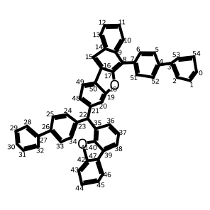 c1ccc(-c2ccc(-c3c4ccccc4cc4c3oc3cc(C(c5ccc(-c6ccccc6)cc5)c5cccc6c5oc5ccccc56)ccc34)cc2)cc1